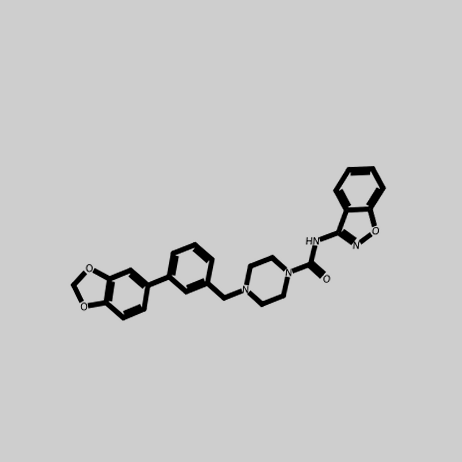 O=C(Nc1noc2ccccc12)N1CCN(Cc2cccc(-c3ccc4c(c3)OCO4)c2)CC1